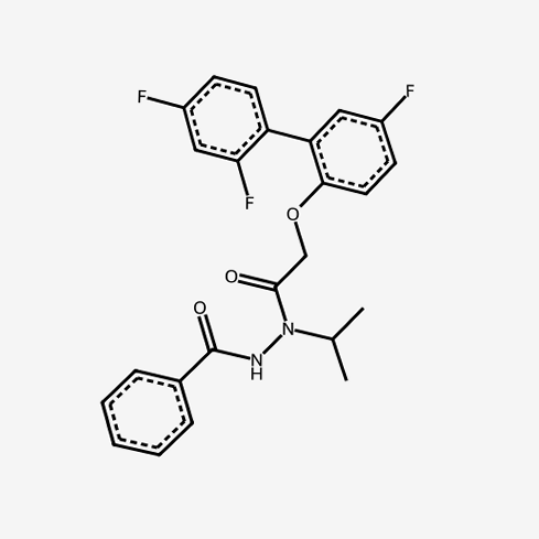 CC(C)N(NC(=O)c1ccccc1)C(=O)COc1ccc(F)cc1-c1ccc(F)cc1F